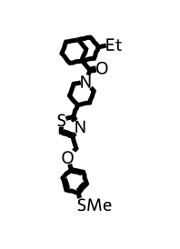 CCC1CC2CCCC(C(=O)N3CCC(c4nc(COc5ccc(SC)cc5)cs4)CC3)(C1)C2